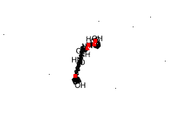 O=C(CCCCCCCc1ccc(O)cc1)NCCNC(=O)c1ccc(N/N=C/c2ccccc2S(=O)(=O)O)nc1